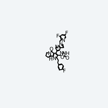 O=C1c2c(nc(CCc3ccc(F)cc3)c(-c3n[nH]c(=O)o3)c2-c2cnc3c(ccn3Cc3ncc(F)cc3F)c2)[C@@H]2CCCN12